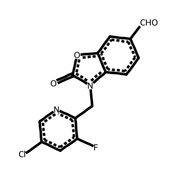 O=Cc1ccc2c(c1)oc(=O)n2Cc1ncc(Cl)cc1F